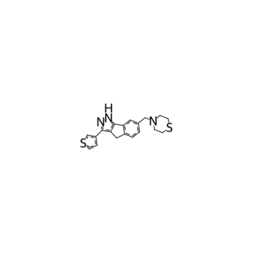 c1cc(-c2n[nH]c3c2Cc2ccc(CN4CCSCC4)cc2-3)cs1